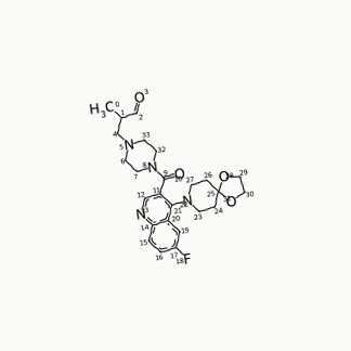 CC(C=O)CN1CCN(C(=O)c2cnc3ccc(F)cc3c2N2CCC3(CC2)OCCO3)CC1